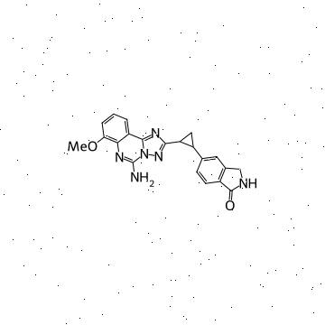 COc1cccc2c1nc(N)n1nc(C3CC3c3ccc4c(c3)CNC4=O)nc21